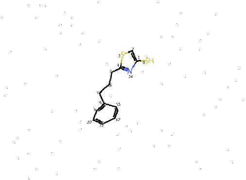 Sc1csc(CCCc2ccccc2)n1